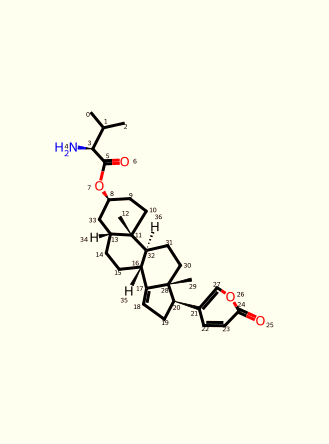 CC(C)[C@H](N)C(=O)O[C@H]1CC[C@@]2(C)[C@H](CC[C@H]3C4=CC[C@H](c5ccc(=O)oc5)[C@@]4(C)CC[C@@H]32)C1